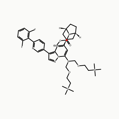 CC(C)(C)OC(=O)N1[C@@H]2CC[C@H]1C[C@H](c1cc(N(COCC[Si](C)(C)C)COCC[Si](C)(C)C)n3ncc(-c4ccc(-c5c(F)cccc5F)nc4)c3n1)C2